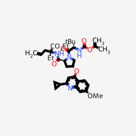 C=CC[C@@](CC)(NC(=O)[C@@H]1C[C@@H](Oc2cc(C3CC3)nc3cc(OC)ccc23)CN1C(=O)[C@@H](NC(=O)OC(=C)C)C(C)(C)C)C(=O)OCC